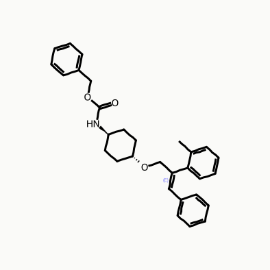 Cc1ccccc1/C(=C\c1ccccc1)CO[C@H]1CC[C@H](NC(=O)OCc2ccccc2)CC1